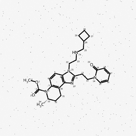 COC(=O)N1c2ccc3c(nc(CCn4ccccc4=O)n3CCNCC3CCC3)c2CC[C@@H]1C